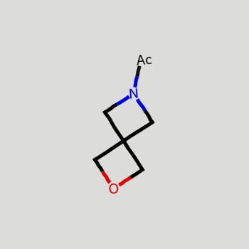 [CH2]C(=O)N1CC2(COC2)C1